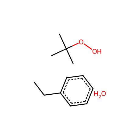 CC(C)(C)OO.CCc1ccccc1.O